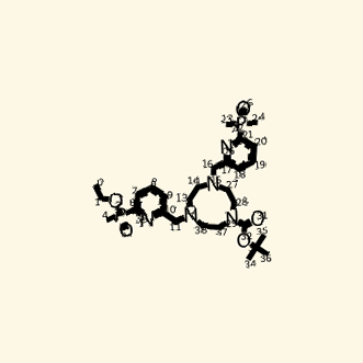 CCOP(C)(=O)c1cccc(CN2CCN(Cc3cccc(P(C)(C)=O)n3)CCN(C(=O)OC(C)(C)C)CC2)n1